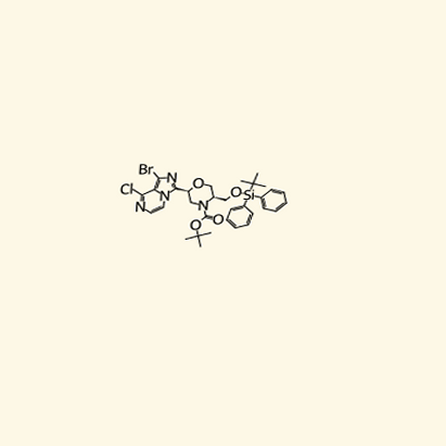 CC(C)(C)OC(=O)N1C[C@@H](c2nc(Br)c3c(Cl)nccn23)OC[C@H]1CO[Si](c1ccccc1)(c1ccccc1)C(C)(C)C